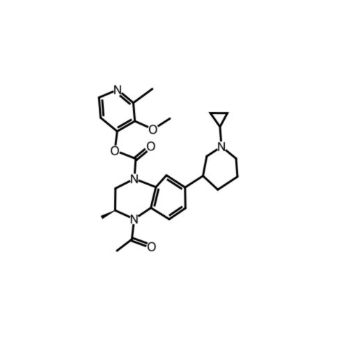 COc1c(OC(=O)N2C[C@H](C)N(C(C)=O)c3ccc(C4CCCN(C5CC5)C4)cc32)ccnc1C